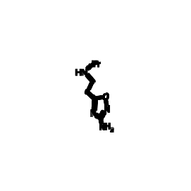 CC(C)NCCc1nc(N)no1